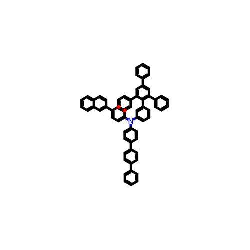 c1ccc(-c2ccc(-c3ccc(N(c4ccc(-c5ccc6ccccc6c5)cc4)c4cccc(-c5c(-c6ccccc6)cc(-c6ccccc6)cc5-c5ccccc5)c4)cc3)cc2)cc1